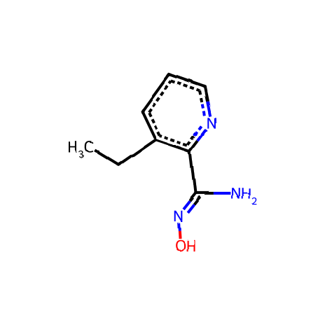 CCc1cccnc1C(N)=NO